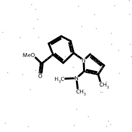 COC(=O)c1cccc(-n2ccc(C)c2N(C)C)c1